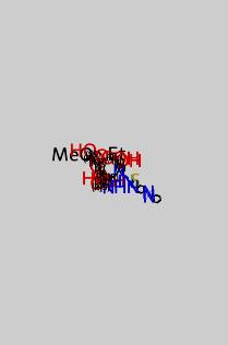 CC[C@H]1OC(=O)[C@H](C)[C@@H](O[C@H]2C[C@@](C)(OC)[C@@H](O)[C@H](C)O2)[C@H](C)[C@@H](O[C@@H]2O[C@H](C)C[C@H](N(C)C)[C@H]2O)[C@](C)(O)C[C@@H](C)CN(CCCNC(=S)Nc2ccc(/N=N/c3ccccc3)cc2)[C@H](C)[C@@H](O)[C@]1(C)O